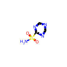 NS(=O)(=O)c1ncncn1